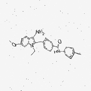 CCn1c(-c2ccc(C(=O)Nc3ccc(C)cc3)cc2)c(N)c2ccc(OC)cc21